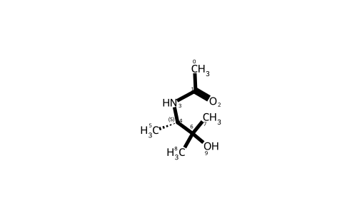 CC(=O)N[C@@H](C)C(C)(C)O